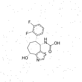 O=C(O)N[C@@H]1c2scnc2[C@H](O)CC[C@@H]1c1cccc(F)c1F